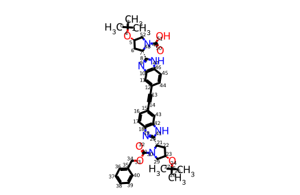 CC(C)(C)O[C@@H]1C[C@@H](c2nc3cc(C#Cc4ccc5nc([C@@H]6C[C@@H](OC(C)(C)C)CN6C(=O)OCc6ccccc6)[nH]c5c4)ccc3[nH]2)N(C(=O)O)C1